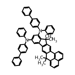 CC1(C)c2cc3c(cc2-c2cc(N(c4ccccc4)c4ccc(-c5ccccc5)cc4)cc(N(c4ccccc4)c4ccc(-c5ccccc5)cc4)c21)C(C)(C)c1cccc2cccc-3c12